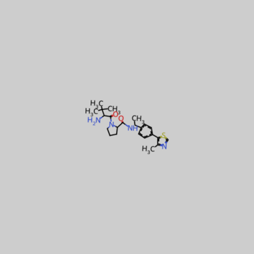 Cc1ncsc1-c1ccc(C(C)NC(=O)C2CCCN2C(=O)C(N)C(C)(C)C)cc1